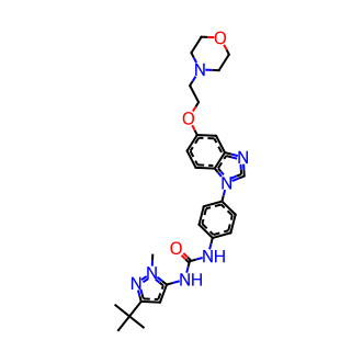 Cn1nc(C(C)(C)C)cc1NC(=O)Nc1ccc(-n2cnc3cc(OCCN4CCOCC4)ccc32)cc1